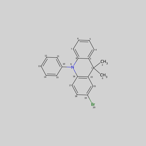 CC1(C)c2ccccc2N(c2ccccc2)c2ccc(Br)cc21